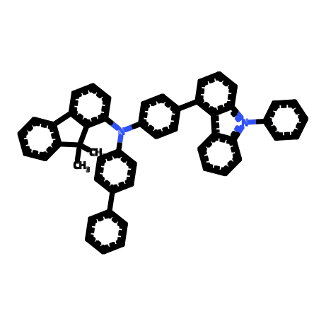 CC1(C)c2ccccc2-c2cccc(N(c3ccc(-c4ccccc4)cc3)c3ccc(-c4cccc5c4c4ccccc4n5-c4ccccc4)cc3)c21